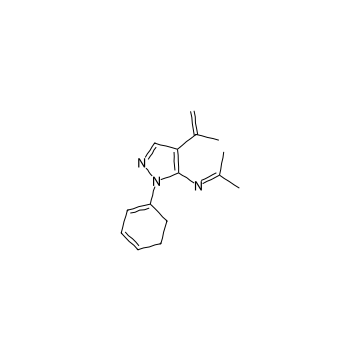 C=C(C)c1cnn(C2=CC=CCC2)c1N=C(C)C